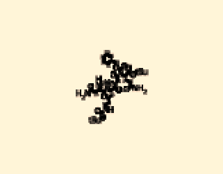 CC(C)(C)OC(=O)NCCCC[C@H](NC(=O)[C@@H](N)CC(N)=O)C(=O)NCC(=O)N(C(=O)OCc1ccccc1)[C@@H](CCC(N)=O)C(=O)OC(C)(C)C